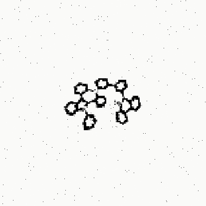 C1=CC2=C(CC1)c1ccccc1C(c1cccc(-c3cccc(N4c5ccccc5-c5c(n(-c6ccccc6)c6ccccc56)-c5ccccc54)c3)c1)N2